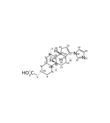 C[C@H]1C=C2C[C@@H](CC(=O)O)CC[C@]2(C)[C@H]2CC[C@]3(C)C(n4ccnc4)=CC[C@H]3[C@H]12